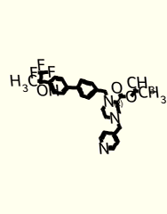 CC(C)OC(=O)[C@H]1CN(Cc2ccncc2)CCN1Cc1ccc(-c2ccc(C(C)(O)C(F)(F)F)cc2)cc1